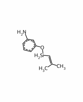 CC(C)=C[SiH2]Oc1cccc(N)c1